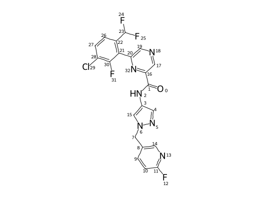 O=C(Nc1cnn(Cc2ccc(F)nc2)c1)c1cncc(-c2c(C(F)F)ccc(Cl)c2F)n1